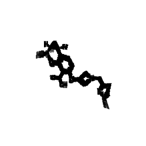 O=C(O)c1c(OC2CN(Cc3nc[nH]n3)C2)ccc2c1OB(O)[C@H]1C[C@@H]21